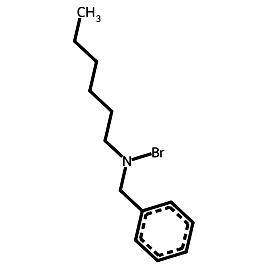 CCCCCCN(Br)Cc1ccccc1